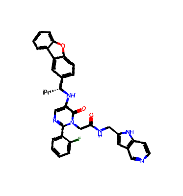 CC(C)[C@@H](Nc1cnc(-c2ccccc2F)n(CC(=O)NCc2cc3cnccc3[nH]2)c1=O)c1ccc2oc3ccccc3c2c1